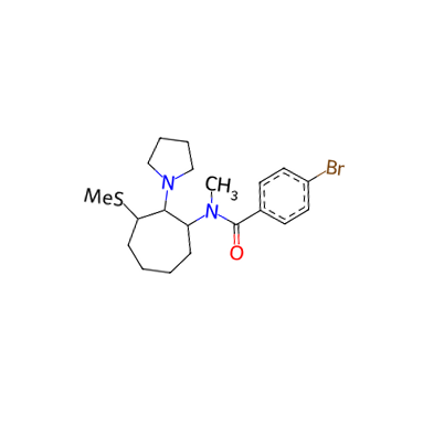 CSC1CCCCC(N(C)C(=O)c2ccc(Br)cc2)C1N1CCCC1